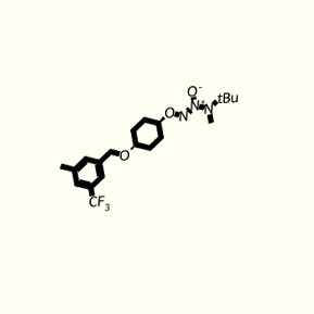 Cc1cc(CO[C@H]2CC[C@H](O/N=[N+](\[O-])N(C)C(C)(C)C)CC2)cc(C(F)(F)F)c1